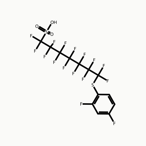 O=S(=O)(O)C(F)(F)C(F)(F)C(F)(F)C(F)(F)C(F)(F)C(F)(F)C(F)(F)Sc1ccc(F)cc1F